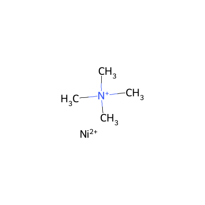 C[N+](C)(C)C.[Ni+2]